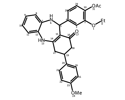 CCOc1cc(C2Nc3ccccc3NC3=C2C(=O)CC(c2ccc(OC)cc2)C3)ccc1OC(C)=O